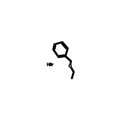 Br.CCOCc1ccccc1